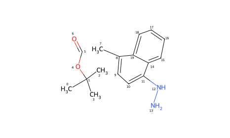 CC(C)(C)OC=O.Cc1ccc(NN)c2ccccc12